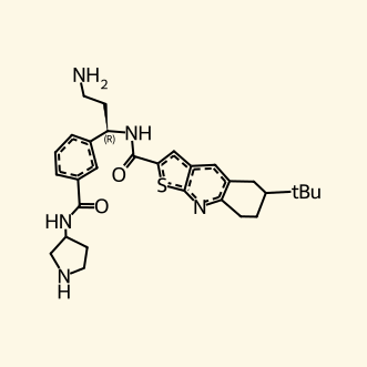 CC(C)(C)C1CCc2nc3sc(C(=O)N[C@H](CCN)c4cccc(C(=O)NC5CCNC5)c4)cc3cc2C1